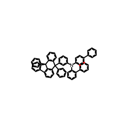 c1ccc(-c2ccc(N(c3cccc(C4(c5ccccc5)c5ccccc5C5(c6ccccc6)c6ccccc6-c6cccc4c65)c3)c3ccccc3-c3ccccc3)cc2)cc1